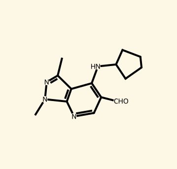 Cc1nn(C)c2ncc(C=O)c(NC3CCCC3)c12